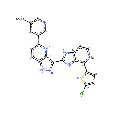 COc1cncc(-c2ccc3[nH]nc(-c4nc5c(-c6ccc(Cl)s6)nccc5[nH]4)c3n2)c1